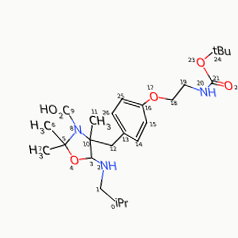 CC(C)CNC1OC(C)(C)N(C(=O)O)C1(C)Cc1ccc(OCCNC(=O)OC(C)(C)C)cc1